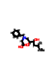 CCCCC(CC)CC(O)C(O)CN(CCO)Cc1ccccc1